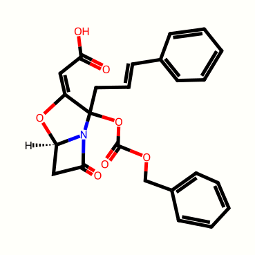 O=C(O)C=C1O[C@@H]2CC(=O)N2C1(CC=Cc1ccccc1)OC(=O)OCc1ccccc1